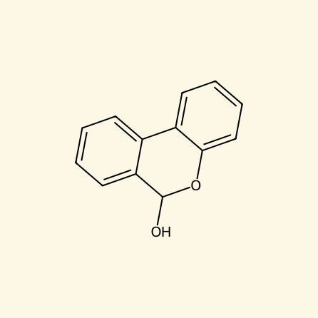 OC1Oc2ccccc2-c2ccccc21